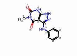 Cn1c(=O)[nH]c2[nH]nc(Nc3ccccc3)c2c1=O